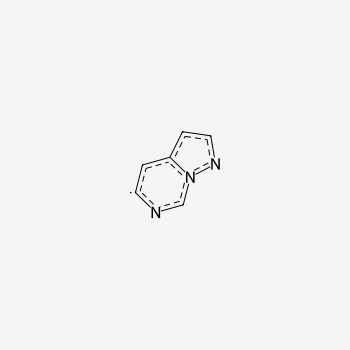 [c]1cc2ccnn2cn1